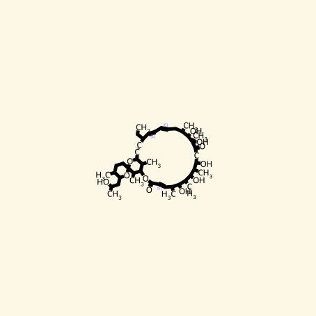 CCC1/C=C/C=C/CC(C)C(O)C(C)(O)C(=O)CC(O)C(C)C(O)C(C)C(O)C(C)/C=C/C(=O)OC2C(C)C(CC1)OC1(CCC(C)C(CC(C)O)O1)C2C